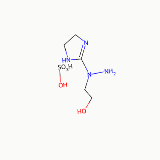 NN(CCO)C1=NCCN1.O=S(=O)(O)O